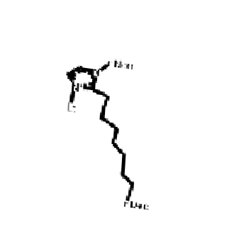 CCCCCCCCCCCCCCCCCc1n(CCCCCCCCC)cc[n+]1CC